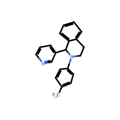 FC(F)(F)c1ccc(N2CCc3ccccc3C2c2cccnc2)cc1